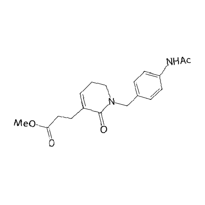 COC(=O)CCC1=CCCN(Cc2ccc(NC(C)=O)cc2)C1=O